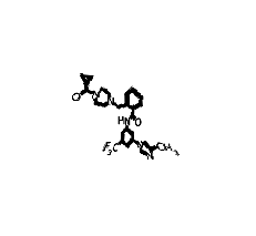 Cc1cn(-c2cc(NC(=O)c3ccccc3CN3CCN(C(=O)C4CC4)CC3)cc(C(F)(F)F)c2)cn1